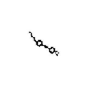 CC=CCCc1ccc(C#Cc2ccc(OC)cc2)cc1